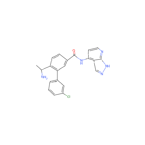 CC(N)c1ccc(C(=O)Nc2ccnc3[nH]ncc23)cc1-c1cccc(Cl)c1